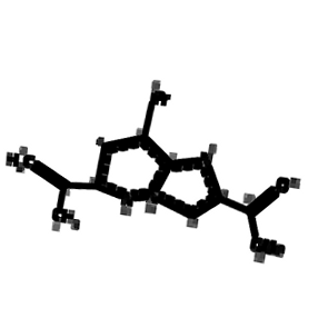 C=C(C)c1cc(C(C)C)c2nc(C(=O)OC)cn2n1